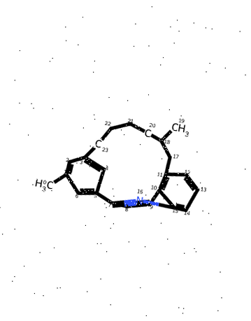 Cc1cc2cc(c1)-c1ccc3c(cccc3n1)CC(C)CCCC2